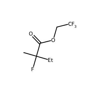 CCC(C)(F)C(=O)OCC(F)(F)F